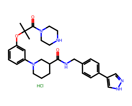 CC(C)(Oc1cccc(N2CCCC(C(=O)NCc3ccc(-c4cn[nH]c4)cc3)C2)c1)C(=O)N1CCNCC1.Cl